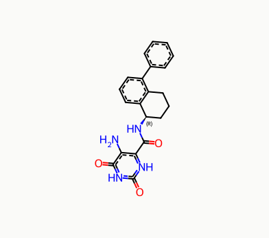 Nc1c(C(=O)N[C@@H]2CCCc3c(-c4ccccc4)cccc32)[nH]c(=O)[nH]c1=O